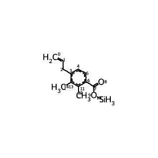 C=CCc1ccc(C(=O)O[SiH3])c(C)c1C